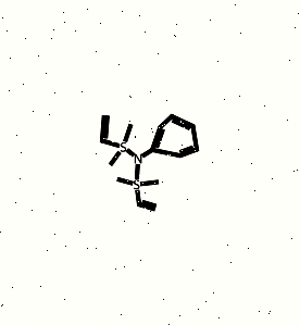 C=CS(C)(C)N(c1ccccc1)S(C)(C)C=C